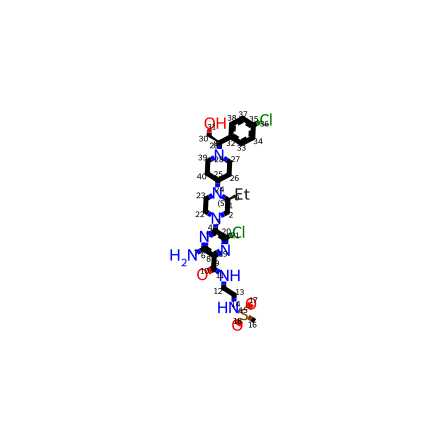 CC[C@H]1CN(c2nc(N)c(C(=O)NCCNS(C)(=O)=O)nc2Cl)CCN1C1CCN([C@@H](CO)c2ccc(Cl)cc2)CC1